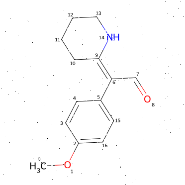 COc1ccc(/C(C=O)=C2\CCCCN2)cc1